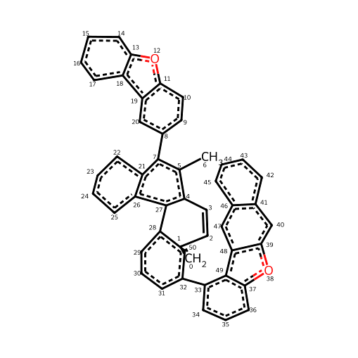 C=C/C=C\c1c(C)c(-c2ccc3oc4ccccc4c3c2)c2ccccc2c1-c1cccc(-c2cccc3oc4cc5ccccc5cc4c23)c1